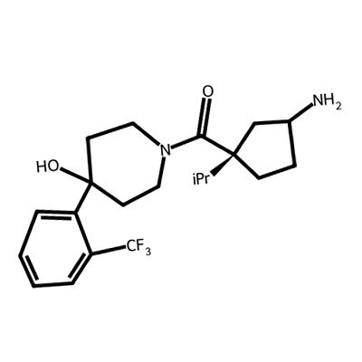 CC(C)[C@]1(C(=O)N2CCC(O)(c3ccccc3C(F)(F)F)CC2)CCC(N)C1